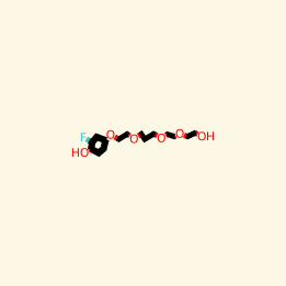 OCCOCCOCCCOCCOc1ccc(O)c(F)c1